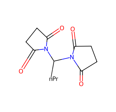 CCCC(N1C(=O)CCC1=O)N1C(=O)CCC1=O